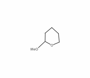 COC1[CH]CCCO1